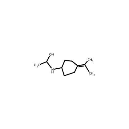 CC(C)=C1CCC(NC(C)O)CC1